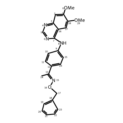 COc1cc2ncnc(Nc3ccc(C(C)=NOCc4ccccc4)cc3)c2cc1OC